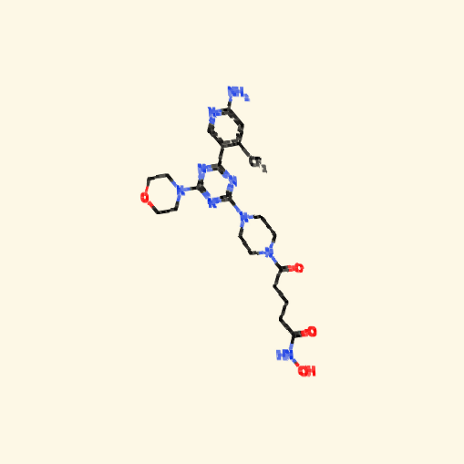 Nc1cc(C(F)(F)F)c(-c2nc(N3CCOCC3)nc(N3CCN(C(=O)CCCC(=O)NO)CC3)n2)cn1